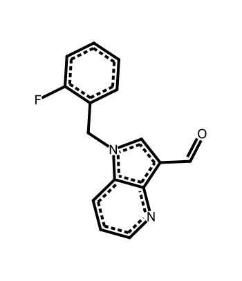 O=Cc1cn(Cc2ccccc2F)c2cccnc12